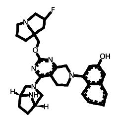 Oc1cc(N2CCc3c(nc(OCC45CCCN4CC(F)C5)nc3N3C[C@H]4CC[C@@H](C3)N4)C2)c2ccccc2c1